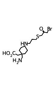 NCC1(CC(=O)O)CCC(NCCCSCC(=O)CBr)CC1